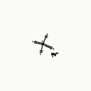 [Mg+2].[O]=[W](=[O])([O-])[O-]